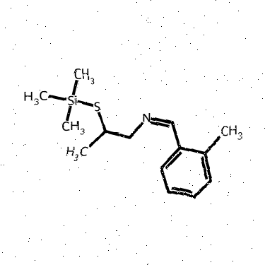 Cc1ccccc1/C=N\CC(C)S[Si](C)(C)C